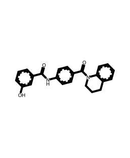 O=C(Nc1ccc(C(=O)N2CCCc3ccccc32)cc1)c1cccc(O)c1